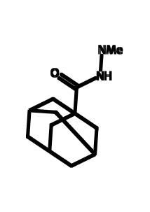 CNNC(=O)C12CC3CC(CC(C3)C1)C2